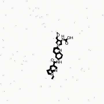 CCn1ccc2cc(C(=O)N[C@H]3CCc4nc(N5CC(COC)C(NC(=O)O)C5)ccc4C3)cnc21